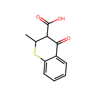 CC1Sc2ccccc2C(=O)C1C(=O)O